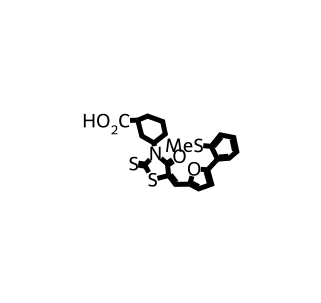 CSc1ccccc1-c1ccc(C=C2SC(=S)N(C3CCCC(C(=O)O)C3)C2=O)o1